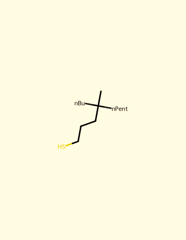 CCCCCC(C)(CCCC)CCCS